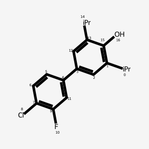 CC(C)c1cc(-c2ccc(Cl)c(F)c2)cc(C(C)C)c1O